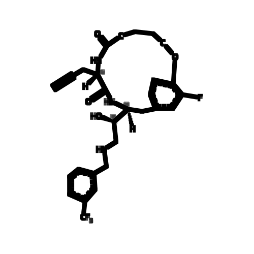 C#CC[C@@H]1NC(=O)CCCCOc2ccc(cc2F)C[C@@H]([C@H](O)CNCc2cccc(C(F)(F)F)c2)NC1=O